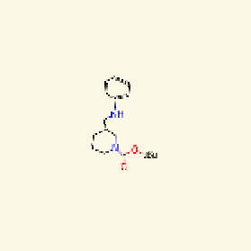 CC(C)(C)OC(=O)N1CCCC(CNc2ccccc2)C1